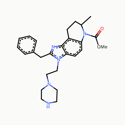 COC(=O)N1c2ccc3c(nc(Cc4ccccc4)n3CCN3CCNCC3)c2CCC1C